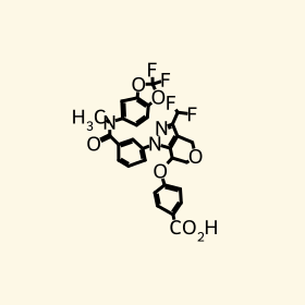 CN(C(=O)c1cccc(-n2nc(C(F)F)c3c2C(Oc2ccc(C(=O)O)cc2)COC3)c1)c1ccc2c(c1)OC(F)(F)O2